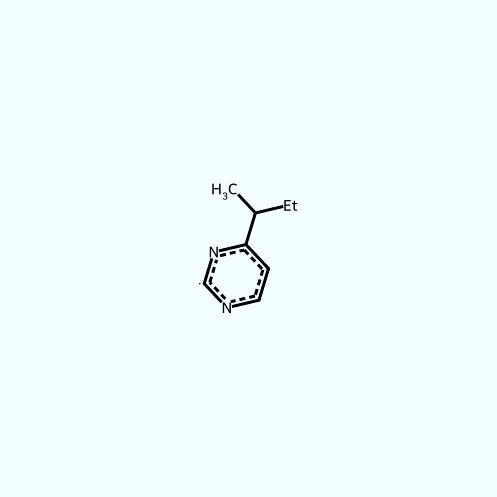 CCC(C)c1ccn[c]n1